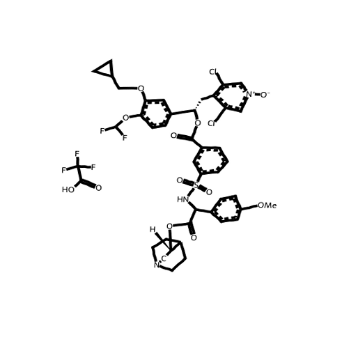 COc1ccc(C(NS(=O)(=O)c2cccc(C(=O)O[C@@H](Cc3c(Cl)c[n+]([O-])cc3Cl)c3ccc(OC(F)F)c(OCC4CC4)c3)c2)C(=O)O[C@H]2CN3CCC2CC3)cc1.O=C(O)C(F)(F)F